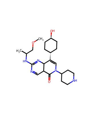 COCC(C)NC1=NC2C([C@H]3CC[C@H](O)CC3)=CN(C3CCNCC3)C(=O)C2C=N1